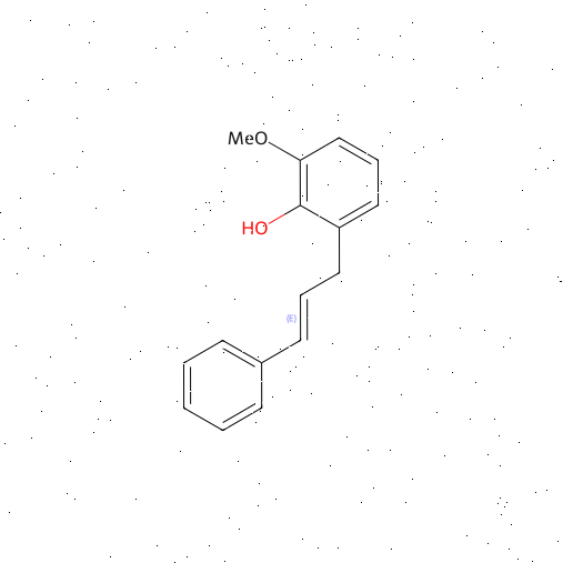 COc1cccc(C/C=C/c2ccccc2)c1O